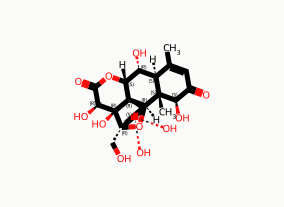 CC1=CC(=O)[C@@H](O)[C@@]2(C)[C@H]1[C@@H](O)[C@H]1OC(=O)[C@H](O)[C@]3(O)[C@]14CO[C@]3(CO)[C@@H](O)[C@H](O)[C@H]24